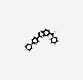 O=C(c1ccc2ncc(-c3ccc(N4CCOCC4)nc3)nc2c1)N1CCCCC1